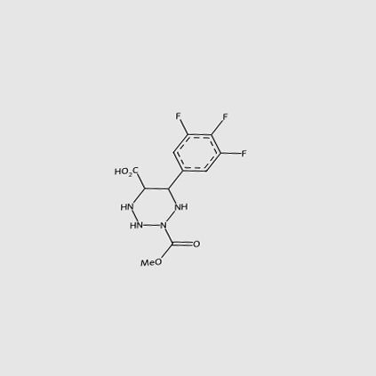 COC(=O)N1NNC(C(=O)O)C(c2cc(F)c(F)c(F)c2)N1